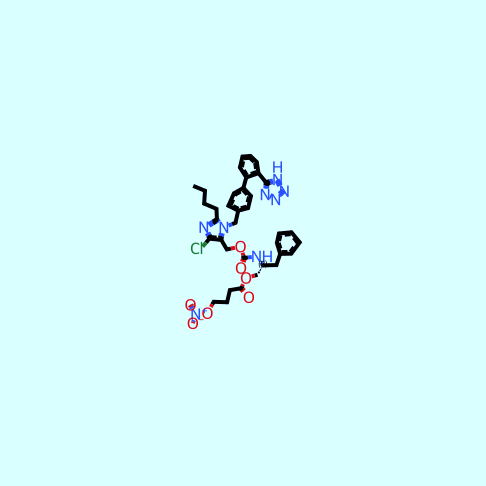 CCCCc1nc(Cl)c(COC(=O)N[C@@H](COC(=O)CCCO[N+](=O)[O-])Cc2ccccc2)n1Cc1ccc(-c2ccccc2-c2nnn[nH]2)cc1